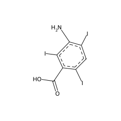 Nc1c(I)cc(I)c(C(=O)O)c1I